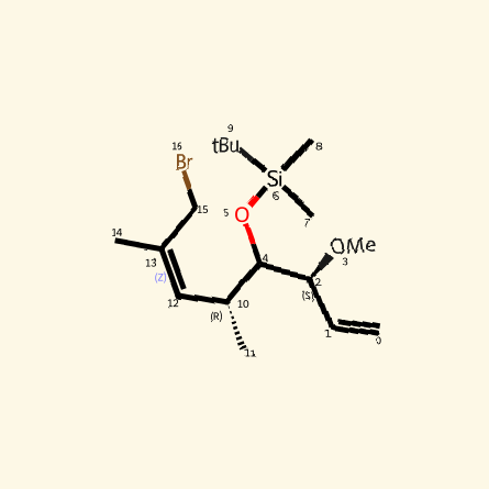 C=C[C@H](OC)C(O[Si](C)(C)C(C)(C)C)[C@H](C)/C=C(/C)CBr